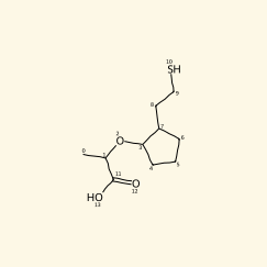 CC(OC1CCCC1CCS)C(=O)O